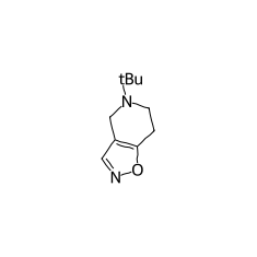 CC(C)(C)N1CCc2oncc2C1